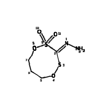 NN=C1SOCCCOS1(=O)=O